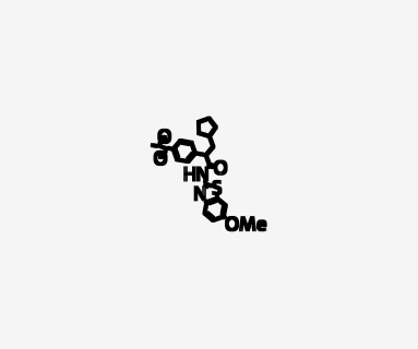 COc1ccc2nc(NC(=O)C(CC3CCCC3)c3ccc(S(C)(=O)=O)cc3)sc2c1